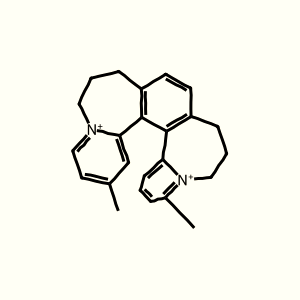 Cc1cc[n+]2c(c1)-c1c(ccc3c1-c1cccc(C)[n+]1CCC3)CCC2